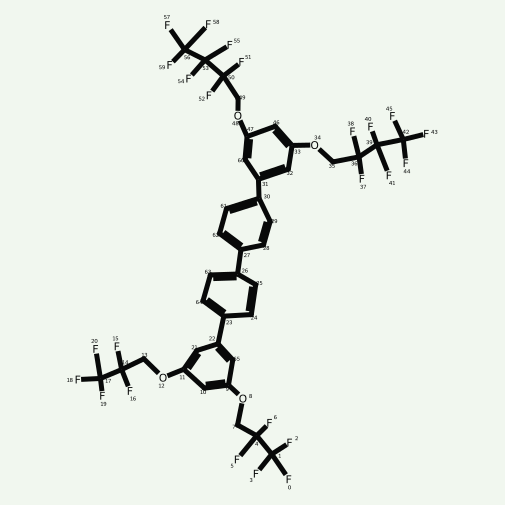 FC(F)(F)C(F)(F)COc1cc(OCC(F)(F)C(F)(F)F)cc(-c2ccc(-c3ccc(-c4cc(OCC(F)(F)C(F)(F)C(F)(F)F)cc(OCC(F)(F)C(F)(F)C(F)(F)F)c4)cc3)cc2)c1